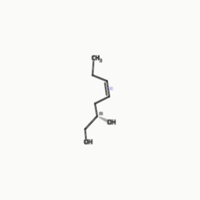 CC/C=C\C[C@H](O)CO